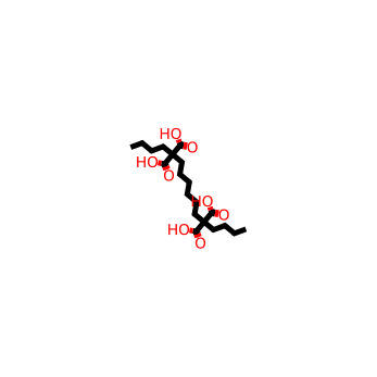 CCCCC(CCCCCCC(CCCC)(C(=O)O)C(=O)O)(C(=O)O)C(=O)O